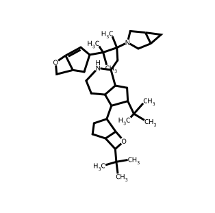 CC(C)(C)C1CC2C(CC(C)(N3CC4CC4C3)C(C)(C)C3C=C4OCC4C3)NCCC2C1C1CCC2C1OC2C(C)(C)C